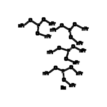 CCCOP(OCCC)OCCC.CCCOP(OCCC)OCCC.CCCOP(OCCC)OCCC.CCCOP(OCCC)OCCC.[Ru]